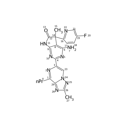 CCCc1nc(-c2nc(N)c3c(n2)NC(=O)C3(C)c2ccc(F)cn2)cn2nc(C)nc12